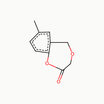 Cc1ccc2c(c1)COCC(=O)O2